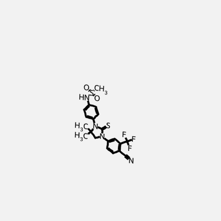 CC1(C)CN(c2ccc(C#N)c(C(F)(F)F)c2)C(=S)N1c1ccc(NS(C)(=O)=O)cc1